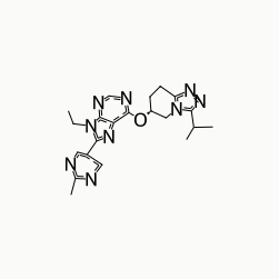 CCn1c(-c2cnc(C)nc2)nc2c(O[C@H]3CCc4nnc(C(C)C)n4C3)ncnc21